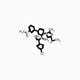 Cc1nc(C(C)F)cn1-c1ccc(-c2cccc([S+](C)[O-])c2)cc1N(N)/C(=C\N)c1ccc(Cl)cc1